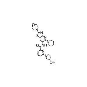 O=C(Nc1cc2sc(N3CCOCC3)nc2nc1N1CCCCC1)c1cncc(N2CCC(O)C2)n1